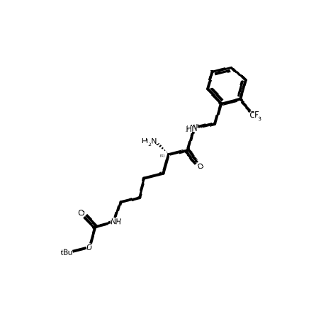 CC(C)(C)OC(=O)NCCCC[C@H](N)C(=O)NCc1ccccc1C(F)(F)F